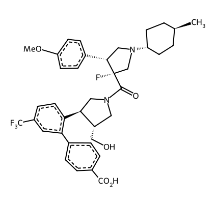 COc1ccc([C@@H]2CN([C@H]3CC[C@H](C)CC3)C[C@@]2(F)C(=O)N2C[C@H](CO)[C@@H](c3ccc(C(F)(F)F)cc3-c3ccc(C(=O)O)cc3)C2)cc1